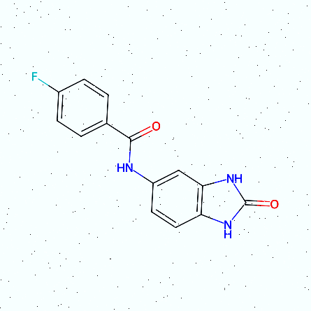 O=C(Nc1ccc2[nH]c(=O)[nH]c2c1)c1ccc(F)cc1